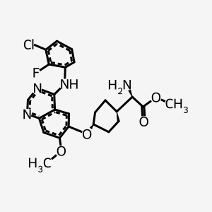 COC(=O)[C@H](N)[C@H]1CC[C@@H](Oc2cc3c(Nc4cccc(Cl)c4F)ncnc3cc2OC)CC1